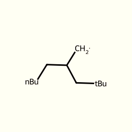 [CH2]C(CCCCC)CC(C)(C)C